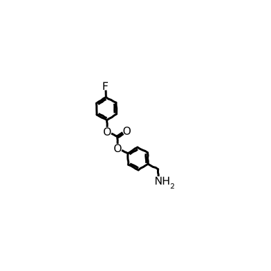 NCc1ccc(OC(=O)Oc2ccc(F)cc2)cc1